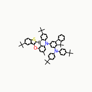 Cc1cc2c3c(c1)N(c1cc4c(c(N(c5ccc(C(C)(C)C)cc5)c5ccc(C(C)(C)C)cc5)c1)C(C)(C)c1ccccc1-4)c1ccc(C(C)(C)C)cc1B3c1sc3ccc(C(C)(C)C)cc3c1O2